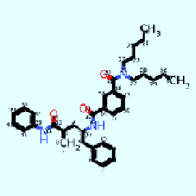 [CH2]C(C[C@H](Cc1ccccc1)NC(=O)c1cccc(C(=O)N(CCCCC)CCCCC)c1)C(=O)Nc1ccccc1